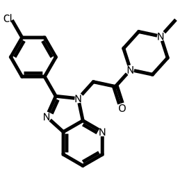 CN1CCN(C(=O)Cn2c(-c3ccc(Cl)cc3)nc3cccnc32)CC1